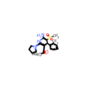 COC(=O)C1C(N2CCCC2)=NC(N)=C(S(C)(=O)=O)C1c1ccccc1C(F)(F)F